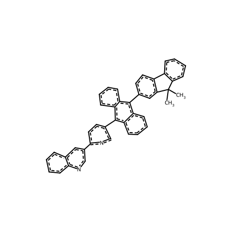 CC1(C)c2ccccc2-c2ccc(-c3c4ccccc4c(-c4ccc(-c5cnc6ccccc6c5)nc4)c4ccccc34)cc21